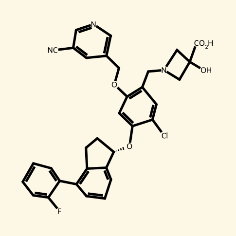 N#Cc1cncc(COc2cc(O[C@H]3CCc4c(-c5ccccc5F)cccc43)c(Cl)cc2CN2CC(O)(C(=O)O)C2)c1